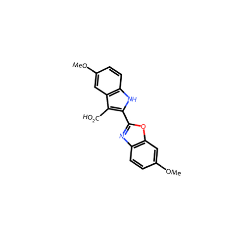 COc1ccc2nc(-c3[nH]c4ccc(OC)cc4c3C(=O)O)oc2c1